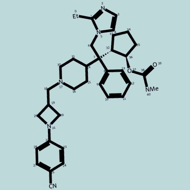 CCc1nccn1CC(c1ccccc1)(C1CCN(CC2CN(c3ccc(C#N)cc3)C2)CC1)[C@@H]1CCC[C@H]1OC(=O)NC